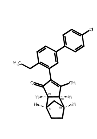 CCc1ccc(-c2ccc(Cl)cc2)cc1C1=C(O)[C@H]2[C@H]3CC[C@H](C3)[C@H]2C1=O